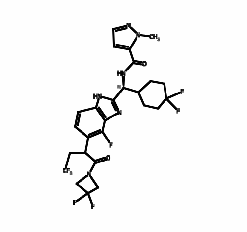 Cn1nccc1C(=O)N[C@H](c1nc2c(F)c(C(CC(F)(F)F)C(=O)N3CC(F)(F)C3)ccc2[nH]1)C1CCC(F)(F)CC1